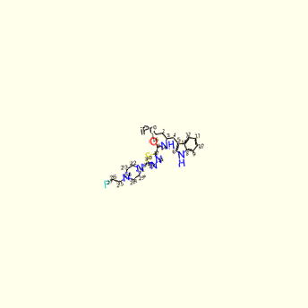 CC(C)CCC(Cc1c[nH]c2ccccc12)NC(=O)c1nnc(N2CCN(CCF)CC2)s1